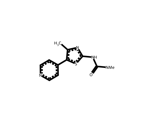 CNC(=O)Nc1nc(C)c(-c2ccncc2)s1